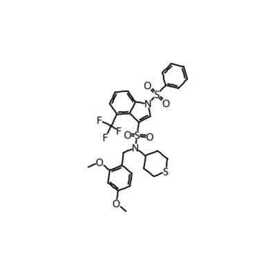 COc1ccc(CN(C2CCSCC2)S(=O)(=O)c2cn(S(=O)(=O)c3ccccc3)c3cccc(C(F)(F)F)c23)c(OC)c1